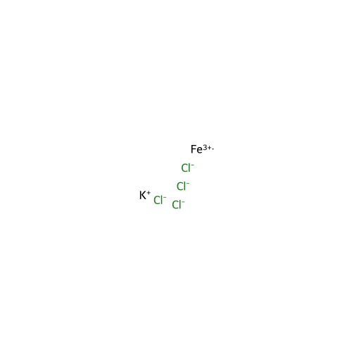 [Cl-].[Cl-].[Cl-].[Cl-].[Fe+3].[K+]